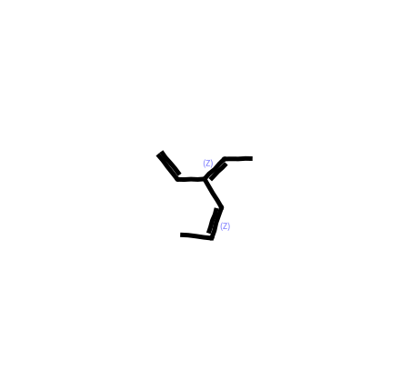 C=CC(/C=C\C)=C/C